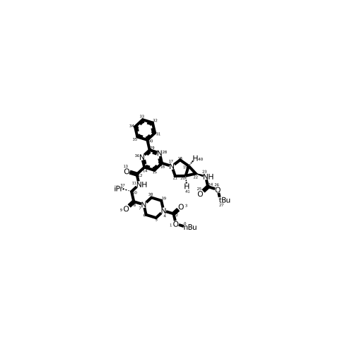 CCCCOC(=O)N1CCN(C(=O)[C@@H](NC(=O)c2cc(N3C[C@@H]4[C@H](C3)[C@@H]4NC(=O)OC(C)(C)C)nc(-c3ccccc3)n2)C(C)C)CC1